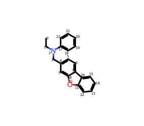 CCN(Cc1ccc2c(c1)oc1ccccc12)c1ccccc1